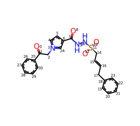 O=C(Cn1ccc(C(=O)NNS(=O)(=O)CC=CCc2ccccc2)c1)c1ccccc1